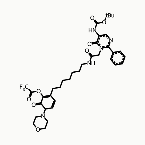 CC(C)(C)OC(=O)Nc1cnc(-c2ccccc2)n(CC(=O)NCCCCCCCC2=C(OC(=O)C(F)(F)F)C(=O)C(N3CCOCC3)C=C2)c1=O